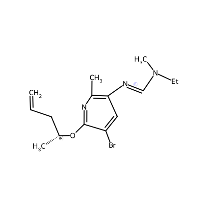 C=CC[C@@H](C)Oc1nc(C)c(/N=C/N(C)CC)cc1Br